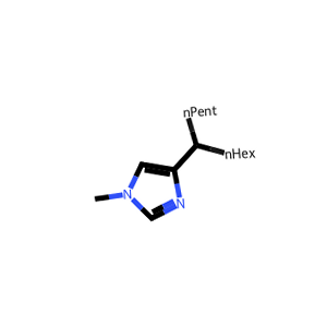 CCCCCCC(CCCCC)c1cn(C)cn1